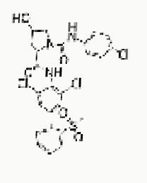 CS(=O)(=O)c1ccccc1-c1cc(Cl)c(NC(=O)C2CC(O)CN2C(=O)Nc2ccc(Cl)cc2)c(Cl)c1